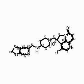 O=c1ccc2ncc(F)c3c2n1C[C@]3(O)CN1CCC(NCc2cc3c(cn2)OCS3)CC1